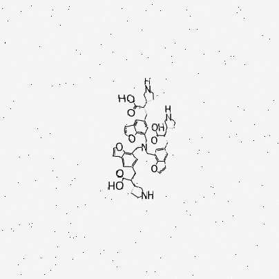 O=C(O)[C@@H](Cc1cc(CN(Cc2cc(C[C@H](C(=O)O)[C@H]3CCNC3)cc3ccoc23)Cc2cc(C[C@H](C(=O)O)[C@H]3CCNC3)cc3ccoc23)c2occc2c1)[C@H]1CCNC1